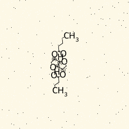 CCCCC(=O)O[C@@H]1CO[C@H]2[C@@H]1OC[C@@H]2OC(=O)CCC